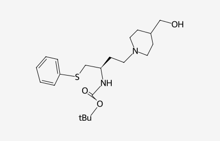 CC(C)(C)OC(=O)N[C@H](CCN1CCC(CO)CC1)CSc1ccccc1